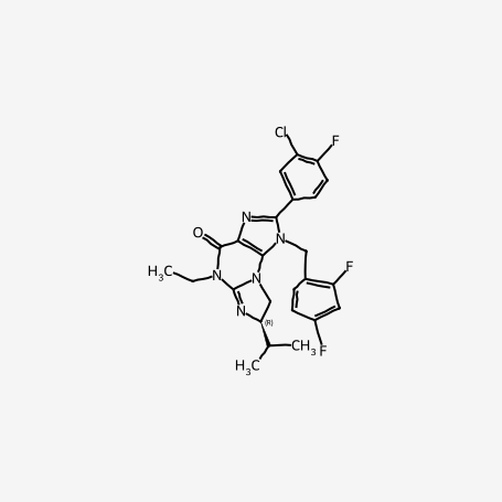 CCN1C(=O)c2nc(-c3ccc(F)c(Cl)c3)n(Cc3ccc(F)cc3F)c2N2C[C@@H](C(C)C)N=C12